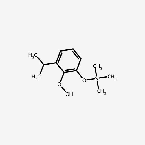 CC(C)c1cccc(O[Si](C)(C)C)c1OO